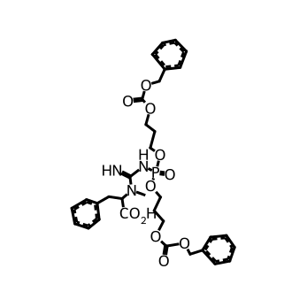 CN(C(=N)NP(=O)(OCCCOC(=O)OCc1ccccc1)OCCCOC(=O)OCc1ccccc1)C(Cc1ccccc1)C(=O)O